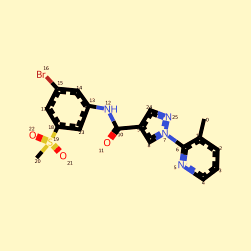 Cc1cccnc1-n1cc(C(=O)Nc2cc(Br)cc(S(C)(=O)=O)c2)cn1